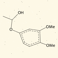 COc1ccc(OC(C)O)cc1OC